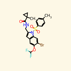 Cc1ccc(S(=O)(=O)n2c(CNC(=O)C3(C)CC3)cc3cc(OC(F)F)c(Br)cc32)cc1